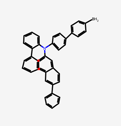 Bc1ccc(-c2ccc(N(c3ccc4cc(-c5ccccc5)ccc4c3)c3ccccc3-c3ccccc3)cc2)cc1